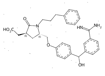 N=C(N)c1cccc(C(O)c2ccc(OC[C@@H]3C[C@@H](CC(=O)O)C(=O)N3CCCc3ccccc3)cc2)c1